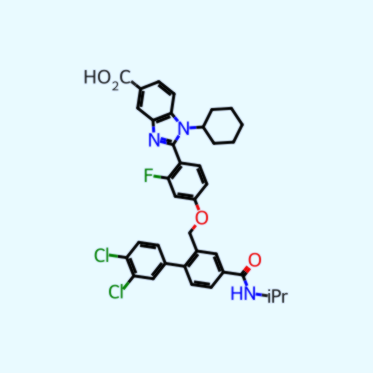 CC(C)NC(=O)c1ccc(-c2ccc(Cl)c(Cl)c2)c(COc2ccc(-c3nc4cc(C(=O)O)ccc4n3C3CCCCC3)c(F)c2)c1